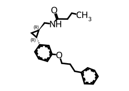 CCCC(=O)NC[C@@H]1C[C@H]1c1cccc(OCCCc2ccccc2)c1